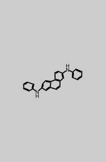 c1ccc(Nc2ccc3c(ccc4cc(Nc5ccccc5)ccc43)c2)cc1